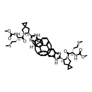 COC(=O)N[C@@H](CCSC)C(=O)N1CC2(CC2)C[C@H]1c1nc2cc(C3=C4C=C[C@H](C3)[C@H](C)Cc3ccc(cc3-c3ccc5[nH]c([C@@H]6CC7(CC7)CN6C(=O)[C@H](CCSC)NC(=O)OC)nc5c3)CC4)ccc2[nH]1